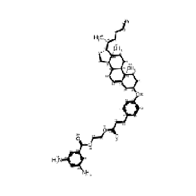 CC(C)CCC[C@@H](C)[C@H]1CCC2C3CC=C4CC(Oc5ccc(C=CC(=O)OCCOC(=O)c6cc(N)cc(N)c6)cc5)CC[C@]4(C)C3CC[C@@]21C